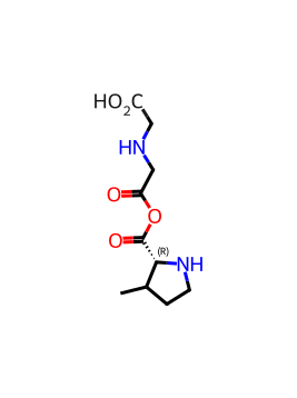 CC1CCN[C@H]1C(=O)OC(=O)CNCC(=O)O